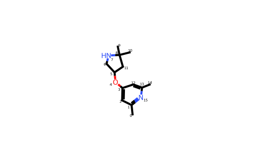 Cc1cc(OC2CNC(C)(C)C2)cc(C)n1